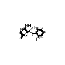 Cc1cnc(N)c(OCc2c(F)cccc2F)n1